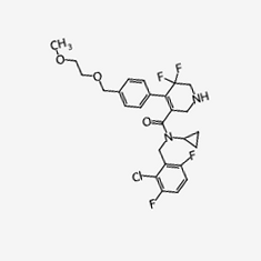 COCCOCc1ccc(C2=C(C(=O)N(Cc3c(F)ccc(F)c3Cl)C3CC3)CNCC2(F)F)cc1